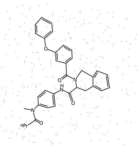 CCCC(=O)N(C)c1ccc(NC(=O)C2Cc3ccccc3CN2C(=O)c2cccc(Oc3ccccc3)c2)cc1